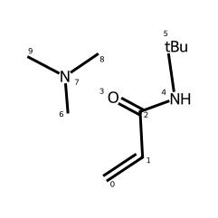 C=CC(=O)NC(C)(C)C.CN(C)C